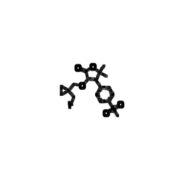 CC1(C)OC(=O)C(OCC2(CF)CC2)=C1c1ccc(S(C)(=O)=O)cc1